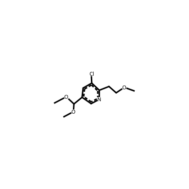 COCCc1ncc(C(OC)OC)cc1Cl